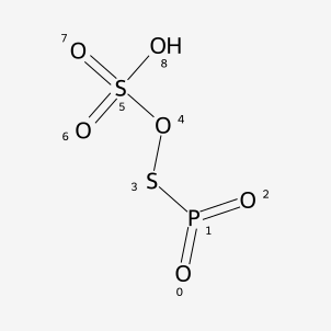 O=P(=O)SOS(=O)(=O)O